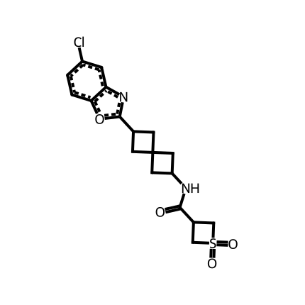 O=C(NC1CC2(C1)CC(c1nc3cc(Cl)ccc3o1)C2)C1CS(=O)(=O)C1